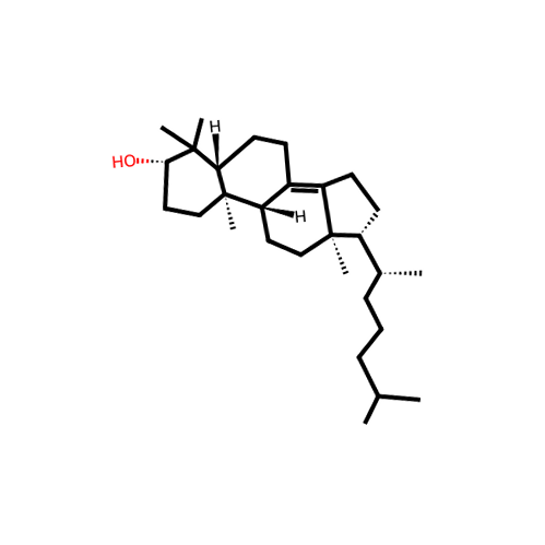 CC(C)CCC[C@@H](C)[C@H]1CCC2=C3CC[C@H]4C(C)(C)[C@@H](O)CC[C@]4(C)[C@H]3CC[C@@]21C